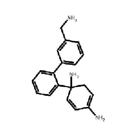 NCc1cccc(-c2ccccc2C2(N)C=CC(N)=CC2)c1